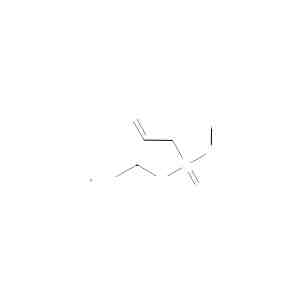 C=CCP(=O)(OCC)OCCCCCC